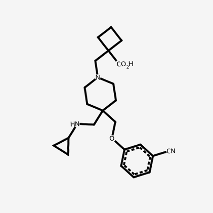 N#Cc1cccc(OCC2(CNC3CC3)CCN(CC3(C(=O)O)CCC3)CC2)c1